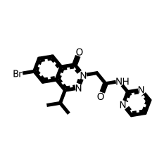 CC(C)c1nn(CC(=O)Nc2ncccn2)c(=O)c2ccc(Br)cc12